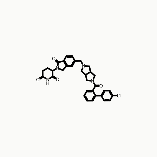 O=C1CCC(N2Cc3cc(CN4CC5CN(C(=O)c6ccccc6-c6ccc(Cl)cc6)CC5C4)ccc3C2=O)C(=O)N1